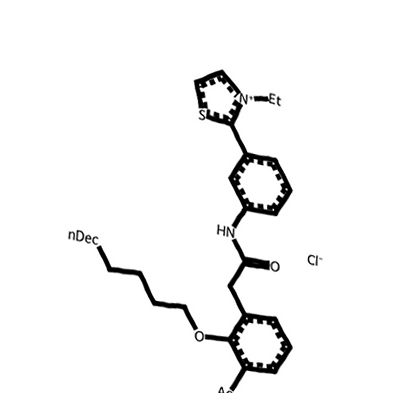 CCCCCCCCCCCCCCOc1c(CC(=O)Nc2cccc(-c3scc[n+]3CC)c2)cccc1C(C)=O.[Cl-]